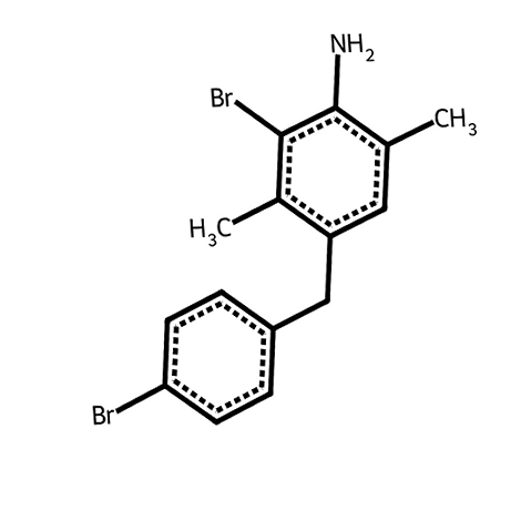 Cc1cc(Cc2ccc(Br)cc2)c(C)c(Br)c1N